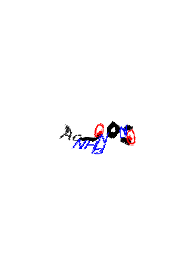 CC(=O)[C@@H](N)CCC(=O)Nc1cccc(N2CCOCC2)c1